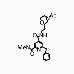 CNC(=O)c1cc(C(=O)NCCC2CN(C(C)=O)CCO2)cc(Cc2ccccc2)n1